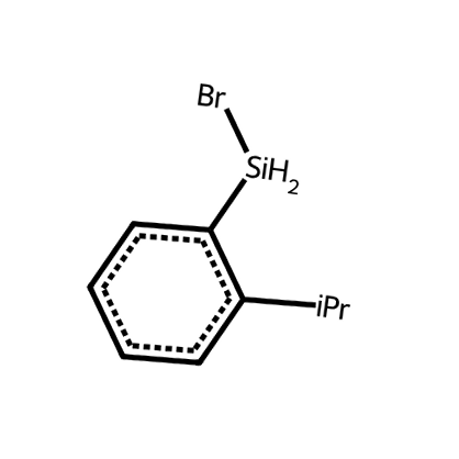 CC(C)c1ccccc1[SiH2]Br